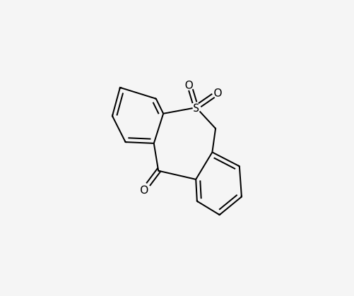 O=C1c2ccccc2CS(=O)(=O)c2ccccc21